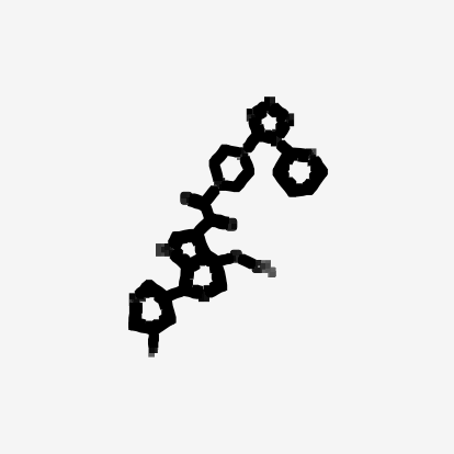 COc1cnc(-c2cncc(F)c2)c2[nH]cc(C(=O)C(=O)N3CCN(c4nnnn4-c4ccccn4)CC3)c12